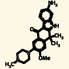 COc1cc2c(cc1N1CCN(C)CC1)C(=O)c1c([nH]c3cc(N)ccc13)C2(C)C